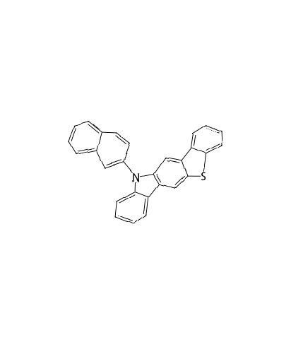 c1ccc2cc(-n3c4ccccc4c4cc5sc6ccccc6c5cc43)ccc2c1